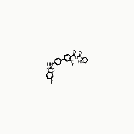 COc1cc(-c2ccc(Nc3nc4ccc(F)cc4s3)cc2)ccc1C(=O)OC(=O)[C@@H]1CCCN1